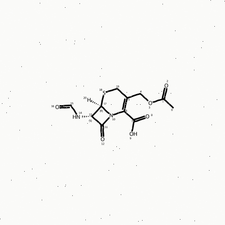 CC(=O)OCC1=C(C(=O)O)N2C(=O)[C@H](NC=O)[C@H]2SC1